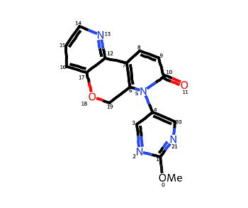 COc1ncc(-n2c3c(ccc2=O)-c2ncccc2OC3)cn1